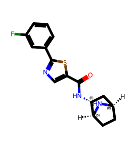 O=C(N[C@@H]1C[C@H]2CC[C@@H]1N2)c1cnc(-c2cccc(F)c2)s1